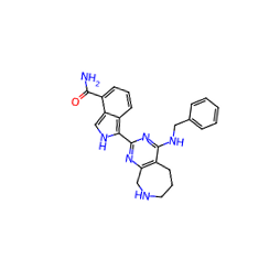 NC(=O)c1cccc2c(-c3nc4c(c(NCc5ccccc5)n3)CCCNC4)[nH]cc12